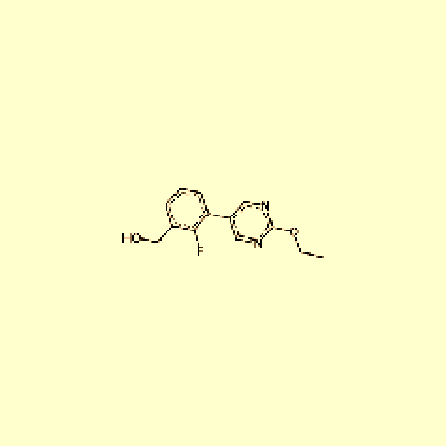 CCOc1ncc(-c2cccc(CO)c2F)cn1